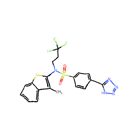 Cc1c(N(CCC(F)(F)F)S(=O)(=O)c2ccc(-c3nnn[nH]3)cc2)sc2ccccc12